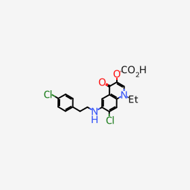 CCn1cc(OC(=O)O)c(=O)c2cc(NCCc3ccc(Cl)cc3)c(Cl)cc21